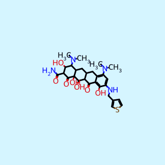 CN(C)c1cc(NCc2ccsc2)c(O)c2c1CC1CC3C(N(C)C)C(O)C(C(N)=O)C(=O)C3(O)C(O)C1C2=O